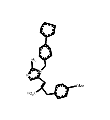 CCCCc1ncc(C=C(Cc2ccc(OC)cc2)C(=O)O)n1Cc1ccc(-c2ccccc2)cc1